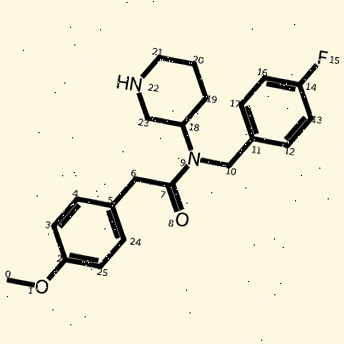 COc1ccc(CC(=O)N(Cc2ccc(F)cc2)C2CCCNC2)cc1